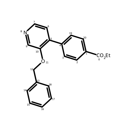 CCOC(=O)c1ccc(-c2ccncc2OCc2ccccc2)cc1